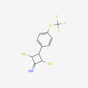 N=C1C(S)C(c2ccc(SC(F)(F)F)cc2)C1S